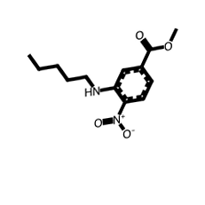 CCCCCNc1cc(C(=O)OC)ccc1[N+](=O)[O-]